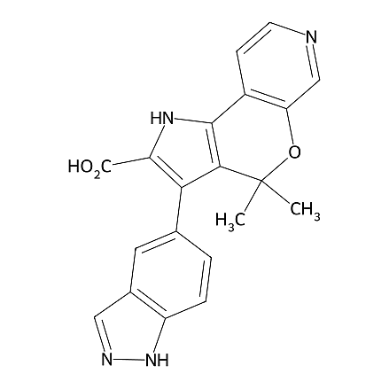 CC1(C)Oc2cnccc2-c2[nH]c(C(=O)O)c(-c3ccc4[nH]ncc4c3)c21